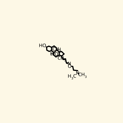 CN(C)CCCON=CC=CC1CC[C@@]2(O)[C@@H]3CCC4CC(O)CC[C@]4(C)[C@@H]3CC[C@]12C